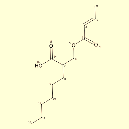 CC=CC(=O)OCC(CCCCCC)C(=O)O